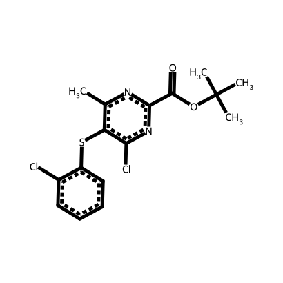 Cc1nc(C(=O)OC(C)(C)C)nc(Cl)c1Sc1ccccc1Cl